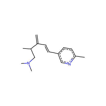 C=C(/C=C/c1ccc(C)nc1)C(C)CN(C)C